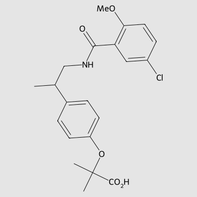 COc1ccc(Cl)cc1C(=O)NCC(C)c1ccc(OC(C)(C)C(=O)O)cc1